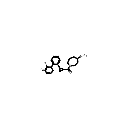 NC1CCCN(C(=O)C2CC2c2ccccc2C2CC=CC(F)=C2F)CC1